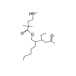 CCCCCC(COC(=O)C(C)(C)CCNC)C(CC)CC(C)=O